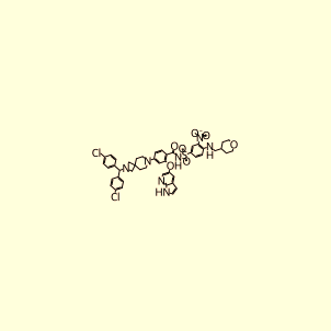 O=C(NS(=O)(=O)c1ccc(NCC2CCOCC2)c([N+](=O)[O-])c1)c1ccc(N2CCC3(CC2)CN(C(c2ccc(Cl)cc2)c2ccc(Cl)cc2)C3)cc1Oc1cnc2[nH]ccc2c1